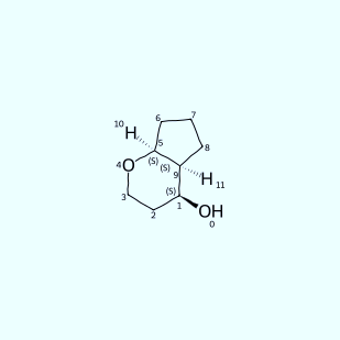 O[C@H]1CCO[C@H]2CCC[C@H]21